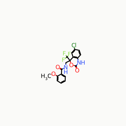 COc1ccccc1C(=O)NCC1(C(F)(F)F)OC(=O)Nc2ccc(Cl)cc21